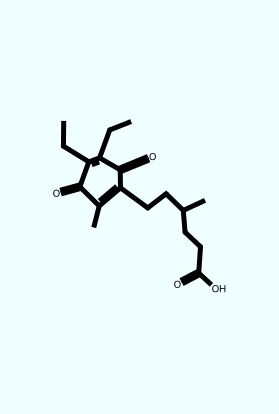 CCC1=C(CC)C(=O)C(CCC(C)CCC(=O)O)=C(C)C1=O